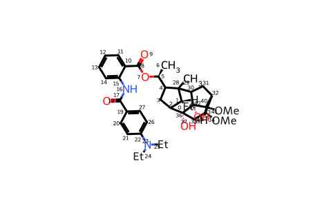 CC[C@@H]1C2CC([C@H](C)OC(=O)c3ccccc3NC(=O)c3ccc(N(CC)CC)cc3)C1(C)C1CC3[C@@H](OC)C[C@]2(O)[C@]1(O)[C@H]3OC